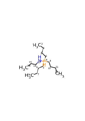 CCCC[PH](CCCC)(CCCC)NCCC